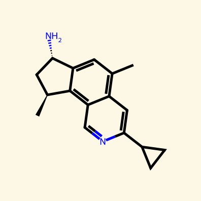 Cc1cc2c(c3cnc(C4CC4)cc13)[C@@H](C)C[C@@H]2N